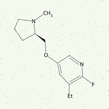 CCc1cc(OC[C@H]2CCCN2C)cnc1F